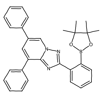 CC1(C)OB(c2ccccc2-c2nc3c(-c4ccccc4)cc(-c4ccccc4)cn3n2)OC1(C)C